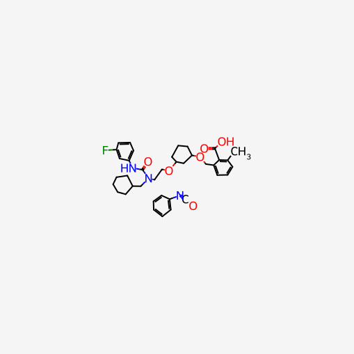 Cc1cccc(COC2CCCC(OCCN(CC3CCCCC3)C(=O)Nc3cccc(F)c3)C2)c1C(=O)O.O=C=Nc1ccccc1